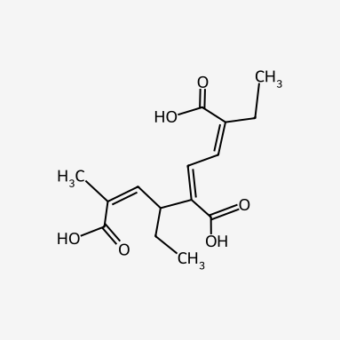 CCC(=CC=C(C(=O)O)C(C=C(C)C(=O)O)CC)C(=O)O